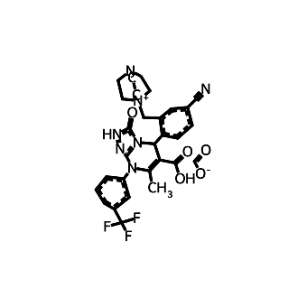 CC1=C(C(=O)O)C(c2ccc(C#N)cc2C[N+]23CCN(CC2)CC3)n2c(n[nH]c2=O)N1c1cccc(C(F)(F)F)c1.O=C[O-]